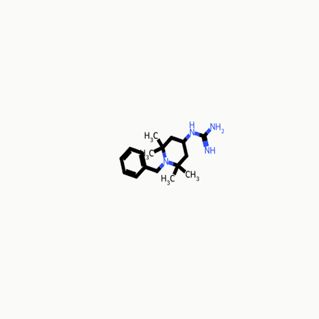 CC1(C)CC(NC(=N)N)CC(C)(C)N1Cc1ccccc1